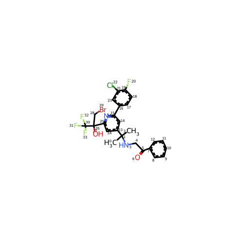 CC(C)(NCC(=O)c1ccccc1)c1cc(-c2ccc(F)c(Cl)c2)nc(C(O)(CBr)C(F)(F)F)c1